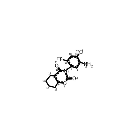 Nc1cc(-n2c(=O)oc3c(c2=O)CCCC3)c(F)cc1Cl